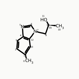 Cc1ccc2ncn(C[C@H](C)O)c2c1